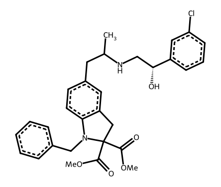 COC(=O)C1(C(=O)OC)Cc2cc(CC(C)NC[C@@H](O)c3cccc(Cl)c3)ccc2N1Cc1ccccc1